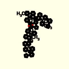 Cc1cccc(N(c2cc3oc4cc(N(c5cccc(C)c5)c5cccc6c5oc5c(C7CCCC7C7CCCC7c7cccc8c7oc7c(N(c9ccccc9C)c9cc%10oc%11cc%12c%13c(cccc%13c%11c%10c%10ccccc9%10)-c9ccccc9N%12c9cccc%10c9oc9c(C%11CCCC%11)cccc9%10)cccc78)cccc56)c5ccccc5c4c3c3ccccc23)c2cccc3c2oc2c(C4CCCC4)cccc23)c1